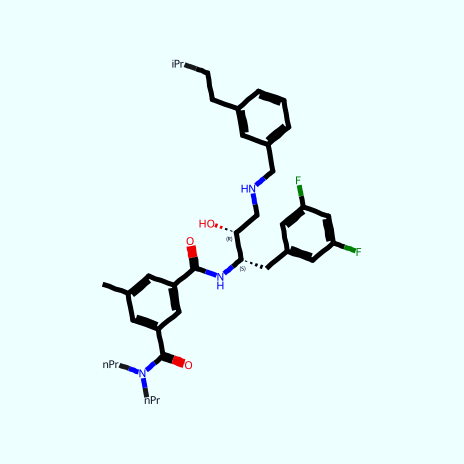 CCCN(CCC)C(=O)c1cc(C)cc(C(=O)N[C@@H](Cc2cc(F)cc(F)c2)[C@H](O)CNCc2cccc(CCC(C)C)c2)c1